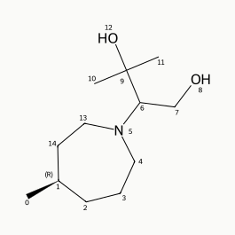 C[C@@H]1CCCN(C(CO)C(C)(C)O)CC1